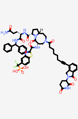 NC(=O)CC[C@H](NC(=O)[C@@H]1CC[C@@H]2CCN(C(=O)CCCCCC#Cc3cccc4c3CN(C3CCC(=O)NC3=O)C4=O)C[C@H](NC(=O)c3nc4cc(C(F)(F)P(=O)(O)O)ccc4s3)C(=O)N21)C(=O)NC(c1ccccc1)c1ccccc1